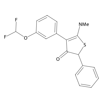 CNC1=C(c2cccc(OC(F)F)c2)C(=O)C(c2ccccc2)S1